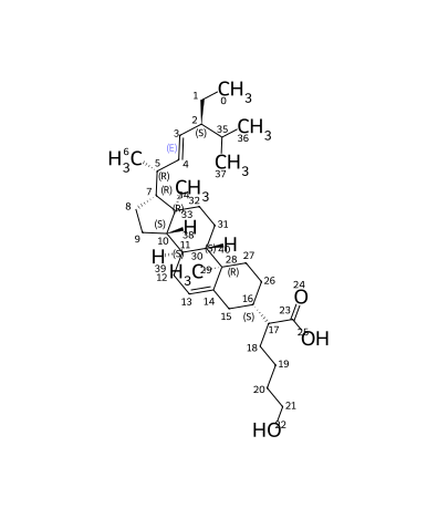 CC[C@H](/C=C/[C@@H](C)[C@H]1CC[C@H]2[C@@H]3CC=C4C[C@@H](C(CCCCO)C(=O)O)CC[C@]4(C)[C@H]3CC[C@]12C)C(C)C